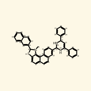 CN1c2c(ccc3ccc4cc(C5NC(c6ccccc6)=CC(c6ccccc6)N5)ccc4c23)SC1c1ccc2ccccc2c1